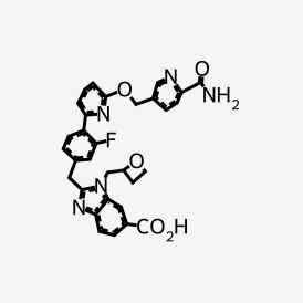 NC(=O)c1ccc(COc2cccc(-c3ccc(Cc4nc5ccc(C(=O)O)cc5n4CC4CCO4)cc3F)n2)cn1